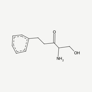 NC(CO)C(=O)CCc1ccccc1